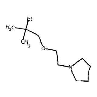 CCC(C)(C)COCCN1CCCC1